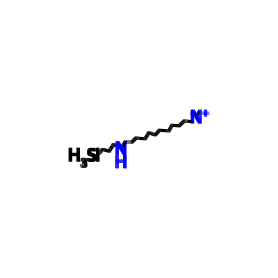 C[N+](C)(C)CCCCCCCCCCCCNCCC[SiH3]